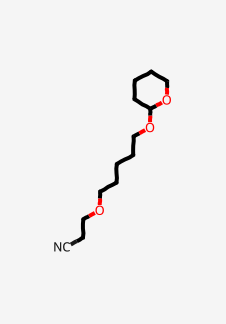 N#CCCOCCCCCOC1CCCCO1